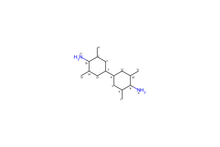 CC1CC(C2CC(C)C(N)C(C)C2)CC(C)C1N